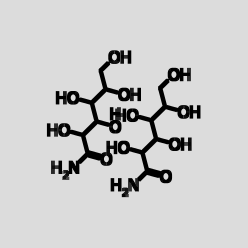 NC(=O)C(O)C(O)C(O)C(O)CO.NC(=O)C(O)C(O)C(O)C(O)CO